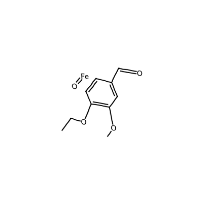 CCOc1ccc(C=O)cc1OC.[O]=[Fe]